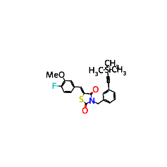 COc1cc(/C=C2\SC(=O)N(Cc3cccc(C#C[Si](C)(C)C)c3)C2=O)ccc1F